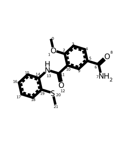 COc1ccc(C(N)=O)cc1C(=O)Nc1ccccc1SC